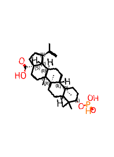 C=C(C)[C@@H]1CC[C@]2(C(=O)O)CC[C@]3(C)[C@H](CC[C@@H]4[C@@]5(C)CC[C@H](O[PH](=O)O)C(C)(C)[C@@H]5CC[C@]43C)[C@@H]12